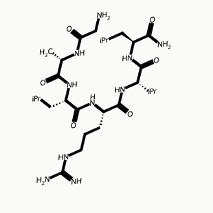 CC(C)C[C@H](NC(=O)[C@@H](NC(=O)[C@H](CCCNC(=N)N)NC(=O)[C@H](CC(C)C)NC(=O)[C@H](C)NC(=O)CN)C(C)C)C(N)=O